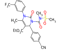 CCOC(=O)C1=C(C)N(c2cccc(C(F)(F)F)c2)C(=O)N(C(=O)N(C)S(C)(=O)=O)C1c1ccc(C#N)cc1